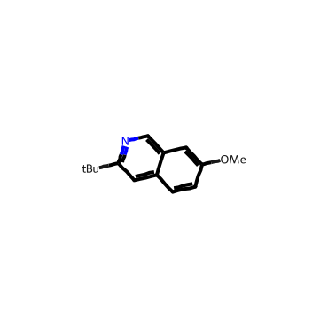 COc1ccc2cc(C(C)(C)C)ncc2c1